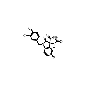 O=C1NC(=O)C2(N1)C(=O)N(Cc1ccc(Cl)c(Cl)c1)c1ccc(F)cc12